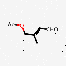 CC(=O)OCC(C)=CC=O